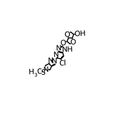 CSN1Cc2cn(-c3nc4nc(OC5COC6C(O)COC56)[nH]c4cc3Cl)nc2C1